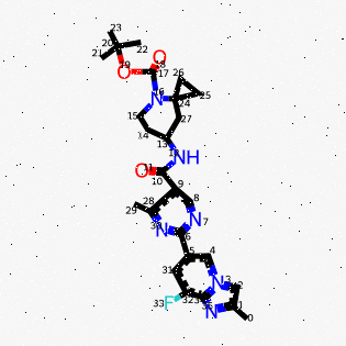 Cc1cn2cc(-c3ncc(C(=O)NC4CCN(C(=O)OC(C)(C)C)C5(CC5)C4)c(C)n3)cc(F)c2n1